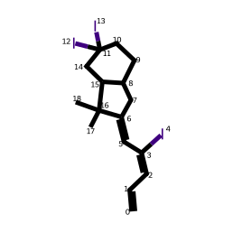 C=C/C=C(I)\C=C1/CC2CCC(I)(I)CC2C1(C)C